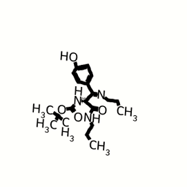 CCCN=C(c1ccc(O)cc1)[C@H](NC(=O)OC(C)(C)C)C(=O)NCCC